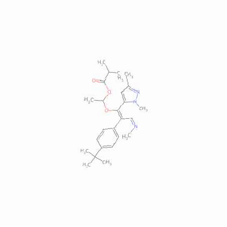 C/N=C\C(=C(\OC(C)OC(=O)C(C)C)c1cc(C)nn1C)c1ccc(C(C)(C)C)cc1